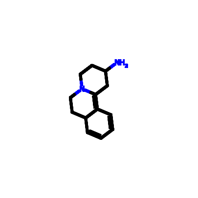 NC1CCN2CCC3C=CC=CC3=C2C1